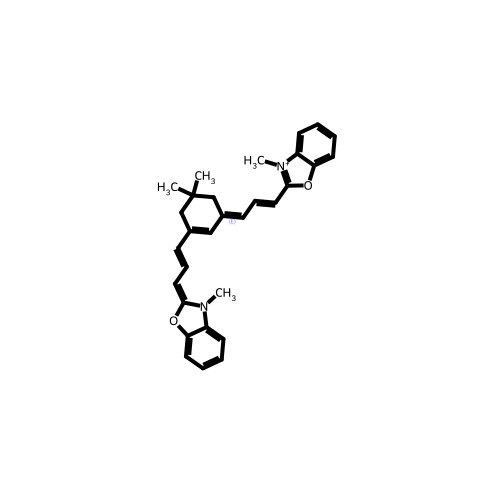 CN1C(=CC=CC2=C/C(=C/C=Cc3oc4ccccc4[n+]3C)CC(C)(C)C2)Oc2ccccc21